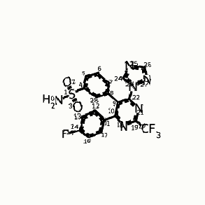 NS(=O)(=O)c1cccc(-c2c(-c3ccc(F)cc3)nc(C(F)(F)F)nc2-n2cncn2)c1